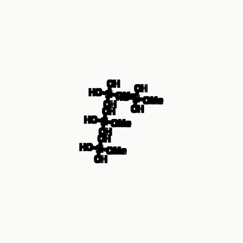 CO[Si](O)(O)O.CO[Si](O)(O)O.CO[Si](O)(O)O.CO[Si](O)(O)O